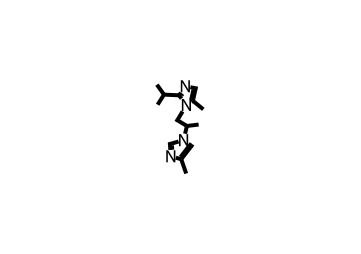 Cc1cn(C(C)Cn2c(C)cnc2C(C)C)cn1